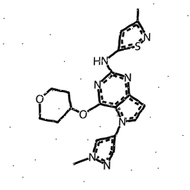 Cc1cc(Nc2nc(OC3CCOCC3)c3c(ccn3-c3cnn(C)c3)n2)sn1